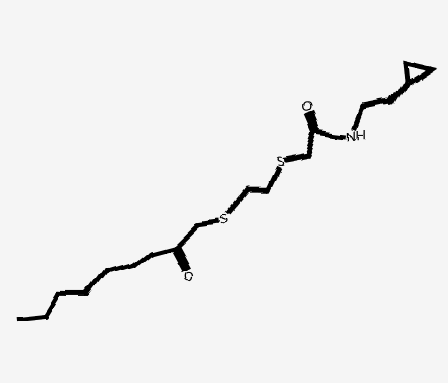 CCCCCCCC(=O)CSCCSCC(=O)NCCC1CC1